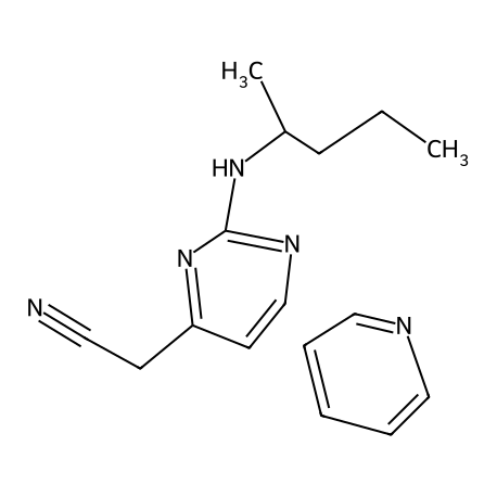 CCCC(C)Nc1nccc(CC#N)n1.c1ccncc1